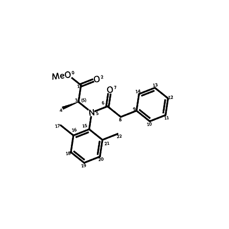 COC(=O)[C@H](C)N(C(=O)Cc1ccccc1)c1c(C)cccc1C